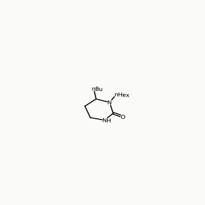 CCCCCCN1C(=O)NCCC1CCCC